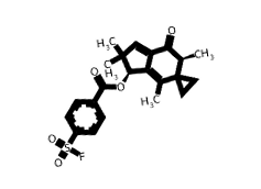 CC1=C2C(=CC(C)(C)[C@@H]2OC(=O)c2ccc(S(=O)(=O)F)cc2)C(=O)[C@@H](C)C12CC2